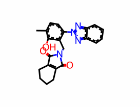 Cc1ccc(-n2nc3ccccc3n2)c(CN2C(=O)C3=C(CCCC3)C2=O)c1O